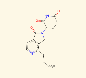 O=C(O)CCc1nccc2c1CN(C1CCC(=O)NC1=O)C2=O